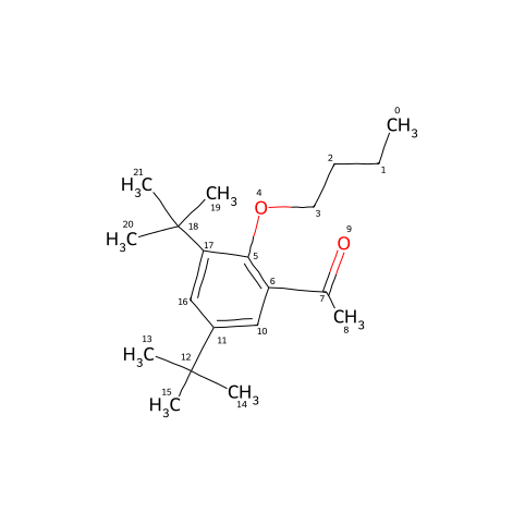 CCCCOc1c(C(C)=O)cc(C(C)(C)C)cc1C(C)(C)C